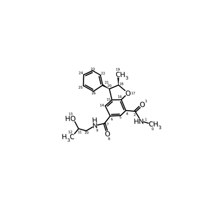 CNC(=O)c1cc(C(=O)NCC(C)O)cc2c1O[C@H](C)[C@@H]2c1ccccc1